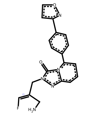 NC/C(=C\F)Cn1nc2cccc(-c3ccc(-c4ccon4)cc3)n2c1=O